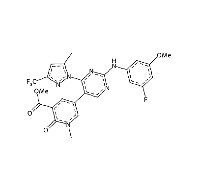 COC(=O)c1cc(-c2cnc(Nc3cc(F)cc(OC)c3)nc2-n2nc(C(F)(F)F)cc2C)cn(C)c1=O